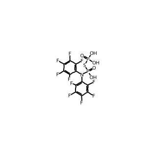 O=P(O)(O)SP(=O)(O)N(c1c(F)c(F)c(F)c(F)c1F)c1c(F)c(F)c(F)c(F)c1F